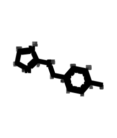 Cc1ccc(CSC2=NCC=N2)cc1